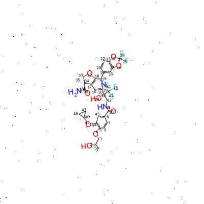 C[C@@H](O)COc1ccc(C(=O)NC[C@](O)(c2cc3c(c(-c4ccc5c(c4)OC(F)(F)O5)n2)OC[C@]3(C)C(N)=O)C(F)(F)F)cc1OC1CC1